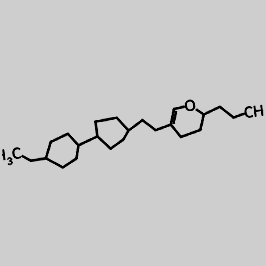 CCCC1CCC(CCC2CCC(C3CCC(CC)CC3)CC2)=CO1